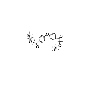 CC(C)(O[Si](C)(C)[Si](C)(C)C)C(=O)c1ccc(Oc2ccc(C(=O)C(C)(C)O[Si](C)(C)[Si](C)(C)C)cc2)cc1